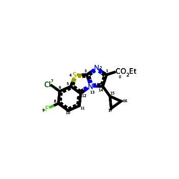 CCOC(=O)c1nc2sc3c(Cl)c(F)ccc3n2c1C1CC1